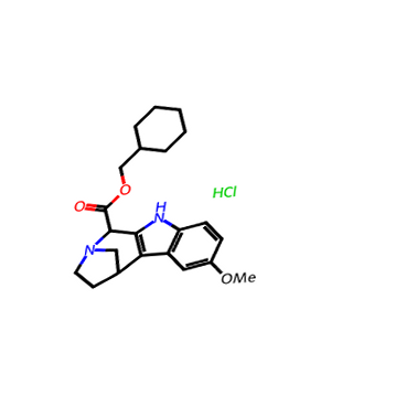 COc1ccc2[nH]c3c(c2c1)C1CCN(C1)C3C(=O)OCC1CCCCC1.Cl